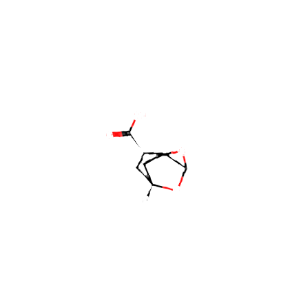 O=C(O)[C@@H]1C[C@@H]2CC13OC3O2